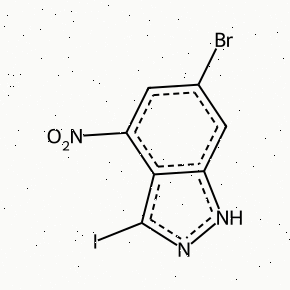 O=[N+]([O-])c1cc(Br)cc2[nH]nc(I)c12